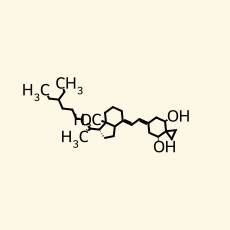 CCC(CC)CCCO[C@H](C)[C@H]1CCC2/C(=C/C=C3C[C@@H](O)C4(CC4)[C@H](O)C3)CCCC21C